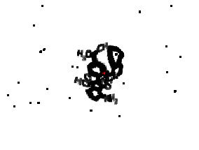 CC(C)c1ccc2c(c1)OC1(O)C3=C(C(=O)C21NC(=O)c1nccc2ccccc12)C(N)CC=C3